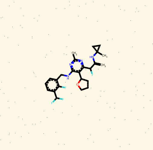 C=C(NC1(C)CC1)C(F)c1nc(C)nc(NCc2cccc(C(F)F)c2F)c1C1CCCO1